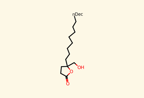 CCCCCCCCCCCCCCCCCCC1(CO)CCC(=O)O1